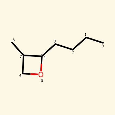 CCCC[C]1OCC1C